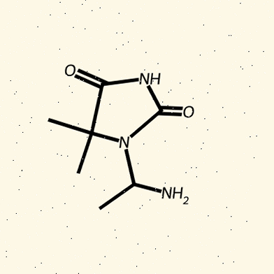 CC(N)N1C(=O)NC(=O)C1(C)C